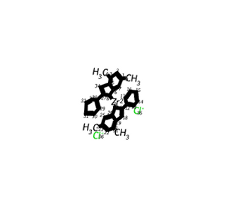 Cc1cc(C)c2c(c1)[CH]([Zr+2][CH]1C(c3ccccc3)=Cc3c(C)cc(C)cc31)C(c1ccccc1)=C2.[Cl-].[Cl-]